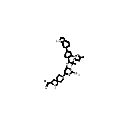 Cc1ccn(-c2cc(-c3ccc4cc[nH]c4c3)ccc2C(Oc2cc(N3CCC4(CC3)CNC(C(=O)O)C4)nc(N)n2)C(F)(F)F)n1